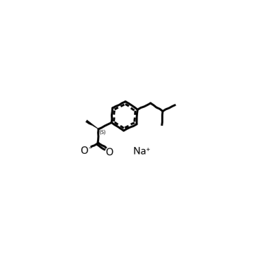 CC(C)Cc1ccc([C@H](C)C(=O)[O-])cc1.[Na+]